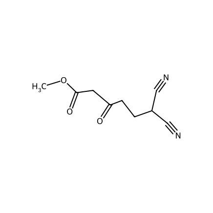 COC(=O)CC(=O)CCC(C#N)C#N